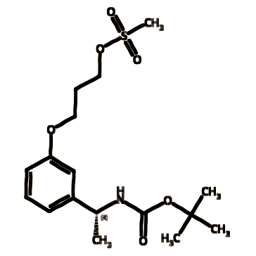 C[C@@H](NC(=O)OC(C)(C)C)c1cccc(OCCCOS(C)(=O)=O)c1